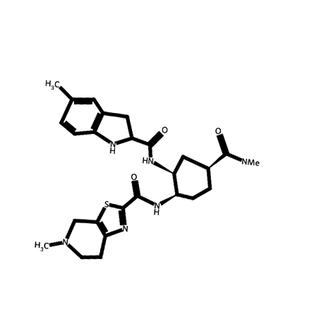 CNC(=O)[C@H]1CC[C@@H](NC(=O)c2nc3c(s2)CN(C)CC3)[C@@H](NC(=O)C2Cc3cc(C)ccc3N2)C1